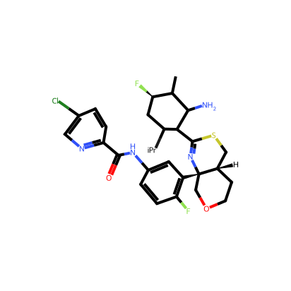 CC(C)C1C[C@@H](F)C(C)C(N)C1C1=N[C@@]2(c3cc(NC(=O)c4ccc(Cl)cn4)ccc3F)COCC[C@H]2CS1